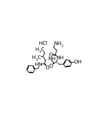 CCC(C)[C@H](NC(=O)[C@H](Cc1ccc(O)cc1)NC(=O)CCN)C(=O)NCc1ccccc1.Cl